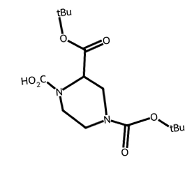 CC(C)(C)OC(=O)C1CN(C(=O)OC(C)(C)C)CCN1C(=O)O